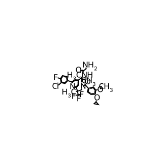 COc1cc(C(=O)NCC(C)(c2cc(C(C)(C)NC(=O)CN)cc(-c3ccc(F)c(Cl)c3)n2)C(F)(F)F)ccc1OC1CC1